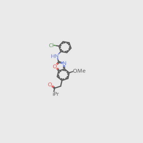 COc1cc(CC(=O)C(C)C)cc2oc(Nc3ccccc3Cl)nc12